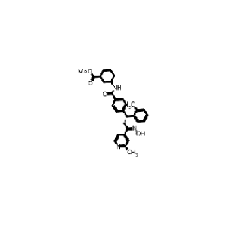 COC(=O)C1CCCC(NC(=O)c2ccc([C@@H](CC(=NO)c3ccnc(C)c3)c3ccccc3C)cc2)C1